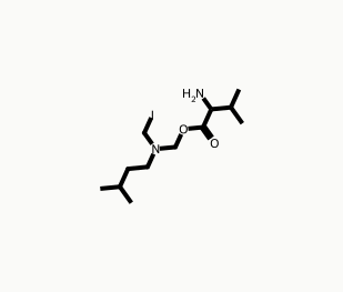 CC(C)CCN(CI)COC(=O)C(N)C(C)C